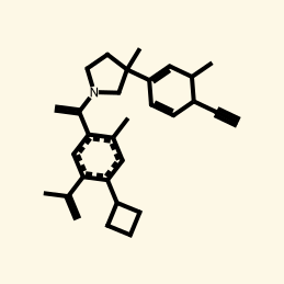 C#CC1C=CC(C2(C)CCN(C(=C)c3cc(C(=C)C)c(C4CCC4)cc3C)C2)=CC1C